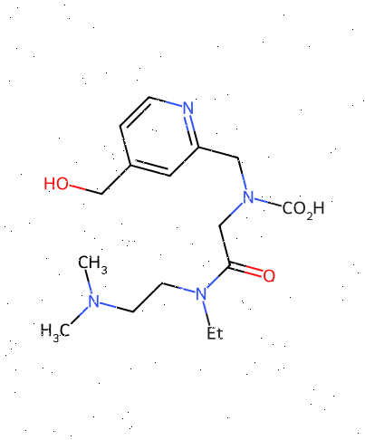 CCN(CCN(C)C)C(=O)CN(Cc1cc(CO)ccn1)C(=O)O